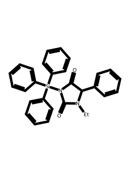 CCN1C(=O)N([Si](c2ccccc2)(c2ccccc2)c2ccccc2)C(=O)C1c1ccccc1